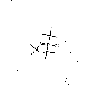 CC(C)(C)P(Cl)(=N[Si](C)(C)C)C(C)(C)C